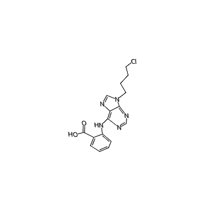 O=C(O)c1ccccc1Nc1ncnc2c1ncn2CCCCCl